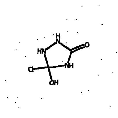 O=C1NNC(O)(Cl)N1